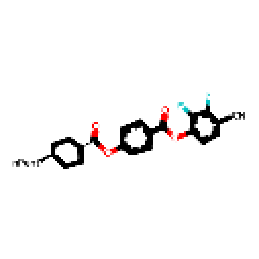 CCCCC[C@H]1CC[C@H](C(=O)Oc2ccc(C(=O)Oc3ccc(C#N)c(F)c3F)cc2)CC1